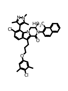 Cc1cc(OCCCc2c3n(c4c(-c5c(C)nn(C)c5C)c(Cl)ccc24)C[C@@H](C)N(c2ccc4ccccc4c2C(=O)O)C3=O)cc(C)c1Cl